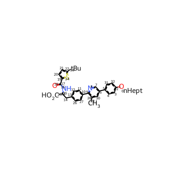 CCCCCCCOc1ccc(-c2cnc(-c3ccc(C[C@H](NC(=O)c4ccc(C(C)(C)C)s4)C(=O)O)cc3)c(C)c2)cc1